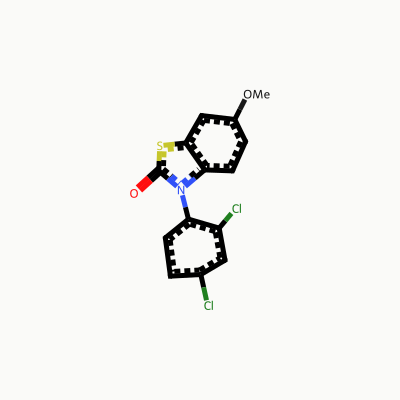 COc1ccc2c(c1)sc(=O)n2-c1ccc(Cl)cc1Cl